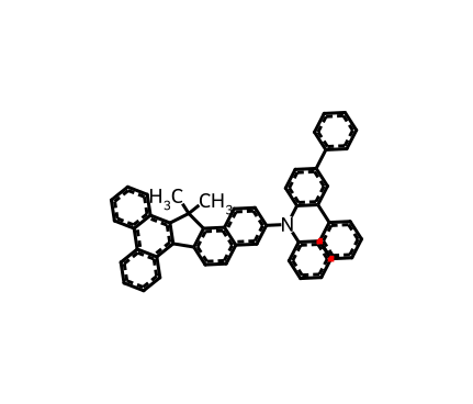 CC1(C)c2c(ccc3cc(N(c4ccccc4)c4ccc(-c5ccccc5)cc4-c4ccccc4)ccc23)-c2c1c1ccccc1c1ccccc21